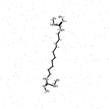 CC(C)N=C(NCCCCCCCCCCNC(=NC(C)C)NC(C)C)NC(C)C